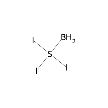 BS(I)(I)I